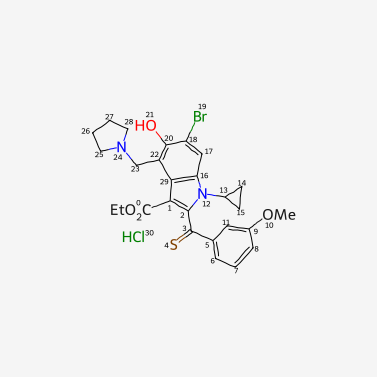 CCOC(=O)c1c(C(=S)c2cccc(OC)c2)n(C2CC2)c2cc(Br)c(O)c(CN3CCCC3)c12.Cl